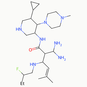 CCC(F)CNC(C=C(C)C)C(C(=O)NC1CNCC(C2CC2)C1N1CCN(C)CC1)C(N)N